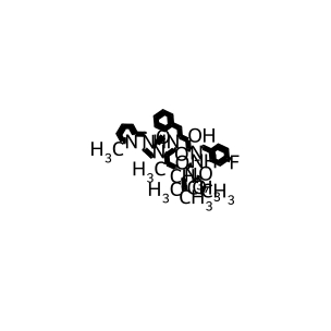 CCC(C)C(C(=O)NC(Cc1ccccc1)C(O)CN(Cc1ccc(F)cc1)NC(=O)N(CC(C)(C)C)C(=O)OC)N1CCN(Cc2cccc(C)n2)C1=O